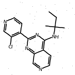 CCC(C)(C)Nc1nc(-c2ccncc2Cl)nc2cnccc12